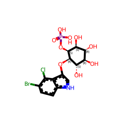 O=P(O)(O)O[C@H]1[C@@H](O)[C@H](O)[C@@H](O)[C@H](O)[C@H]1Oc1c[nH]c2ccc(Br)c(Cl)c12